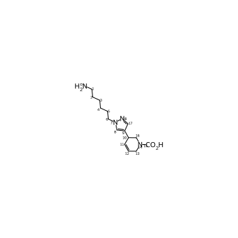 NCCCCCCn1cc(C2C=CCN(C(=O)O)C2)cn1